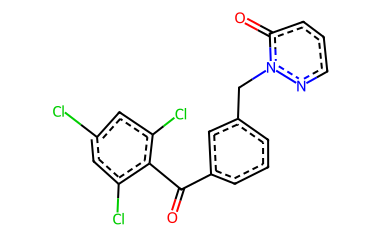 O=C(c1cccc(Cn2ncccc2=O)c1)c1c(Cl)cc(Cl)cc1Cl